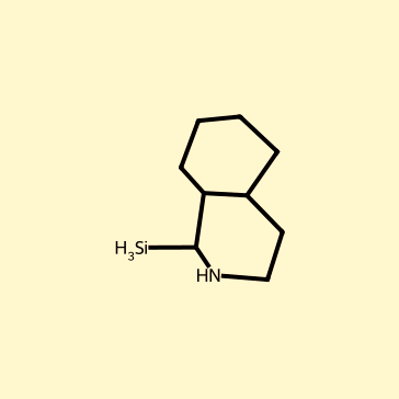 [SiH3]C1NCCC2CCCCC21